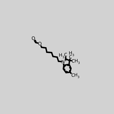 CC1=[N+](CCCCCCCOC=O)c2ccc(C)cc2C1(C)C